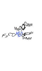 COc1ccc(CN(Cc2ccc(OC)cc2OC)c2ncnc3c2nnn3C2CCCC(CC(F)(F)F)C2)c(OC)c1